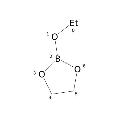 [CH2]COB1OCCO1